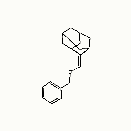 C(OCc1ccccc1)=C1C2CC3CC(C2)CC1C3